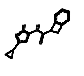 O=C(Nc1cc(C2CC2)n[nH]1)C1Cc2ccccc21